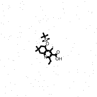 CCc1nc2c(c(I)c1C(=O)O)C(O[Si](C)(C)C(C)(C)C)CC(C)(C)C2